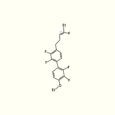 CCOc1ccc(-c2ccc(CC/C=C(\F)CC)c(F)c2F)c(F)c1F